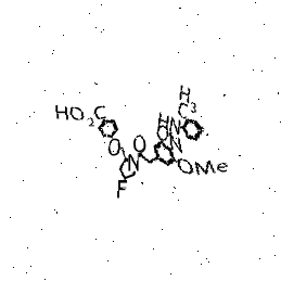 COc1cc(CC(=O)N2C[C@@H](F)C[C@H]2COc2ccc(C(=O)O)cc2)cc2oc(Nc3ccccc3C)nc12